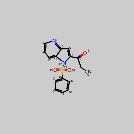 N#CCC(=O)c1cc2ncccc2n1S(=O)(=O)c1ccccc1